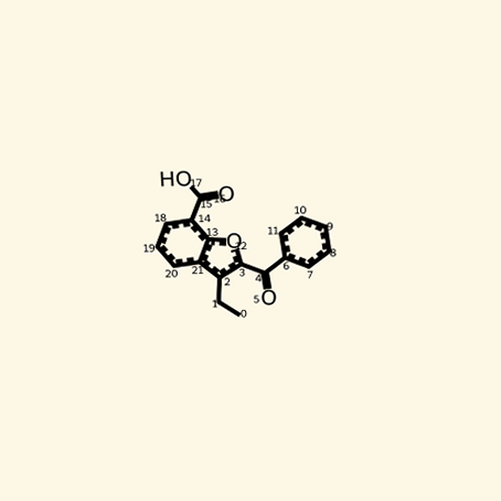 CCc1c(C(=O)c2ccccc2)oc2c(C(=O)O)cccc12